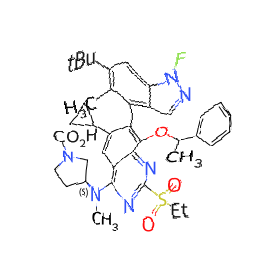 CCS(=O)(=O)c1nc(N(C)[C@H]2CCN(C(=O)O)C2)c2cc(C3CC3)c(-c3c(C)c(C(C)(C)C)cc4c3cnn4F)c(OC(C)c3ccccc3)c2n1